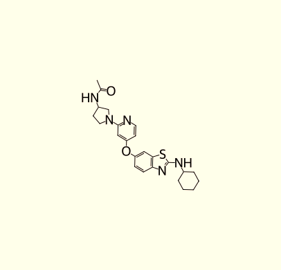 CC(=O)NC1CCN(c2cc(Oc3ccc4nc(NC5CCCCC5)sc4c3)ccn2)C1